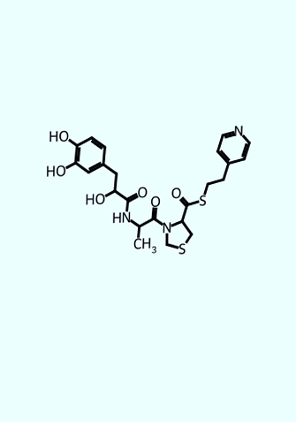 CC(NC(=O)C(O)Cc1ccc(O)c(O)c1)C(=O)N1CSCC1C(=O)SCCc1ccncc1